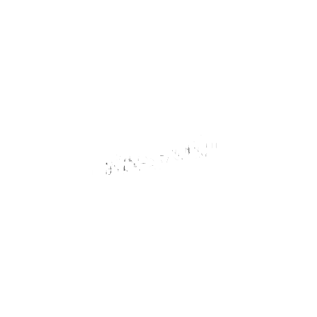 CC[C@H]1CC[C@@H](c2ncc(-c3ccc4c(c3)COc3cc5c(ccc6nc([C@@H]7CC[C@H](C)N7C(=O)[C@@H](NC(=O)OC)C(C)(C)CC)[nH]c65)cc3-4)[nH]2)N1C(=O)[C@@H](NC(=O)OC)C(C)C